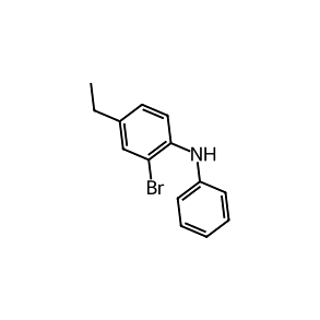 CCc1ccc(Nc2ccccc2)c(Br)c1